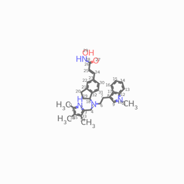 Cc1[nH]c(CN(CCc2cn(C)c3ccccc23)C2CCc3cc(C=CC(=O)NO)ccc32)c(C)c1C